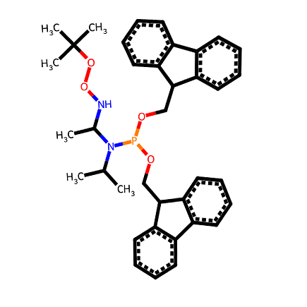 CC(C)N(C(C)NOOC(C)(C)C)P(OCC1c2ccccc2-c2ccccc21)OCC1c2ccccc2-c2ccccc21